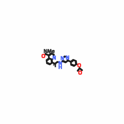 CNC(=O)c1ccnc2c([C@H](C)CNc3cc(-c4ccc(OC5COC5)cc4)ncn3)cccc12